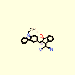 CCn1c2ccccc2c2cc(/C=C3\C(=O)c4ccccc4C3=C(C#N)C#N)ccc21